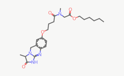 CCCCCCOC(=O)CN(C)C(=O)CCCOc1ccc2c(c1)CN1C(=N2)NC(=O)C1C